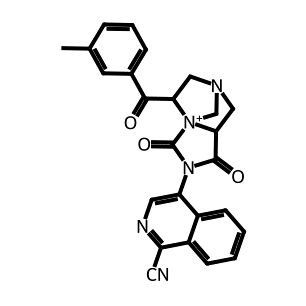 Cc1cccc(C(=O)C2CN3CC4C(=O)N(c5cnc(C#N)c6ccccc56)C(=O)[N+]24C3)c1